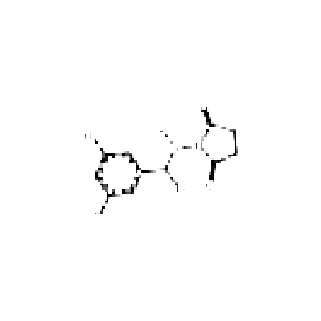 CCCC(c1cc(Cl)cc(Cl)c1)[S+]([O-])N1C(=O)CCC1=O